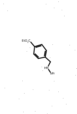 CCCNCc1ccc(C(=O)OCC)cc1